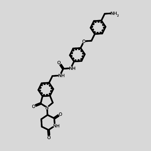 NCc1ccc(COc2ccc(NC(=O)NCc3ccc4c(c3)CN(C3CCC(=O)NC3=O)C4=O)cc2)cc1